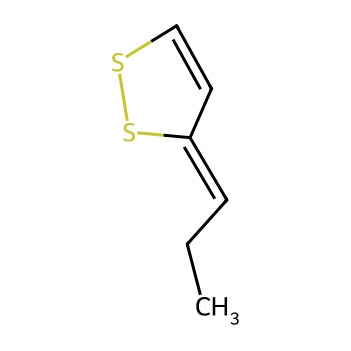 CCC=C1C=CSS1